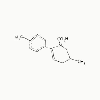 Cc1ccc(C2=CCC(C)CN2C(=O)O)cc1